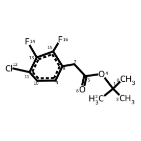 CC(C)(C)OC(=O)Cc1ccc(Cl)c(F)c1F